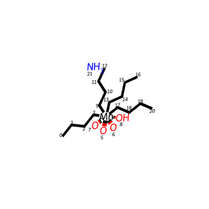 CCC[CH2][Mn](=[O])(=[O])(=[O])([OH])([CH2]CCC)([CH2]CCC)[CH2]CCC.N